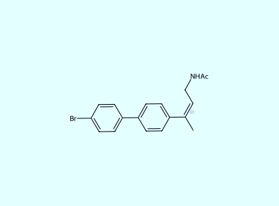 CC(=O)NC/C=C(/C)c1ccc(-c2ccc(Br)cc2)cc1